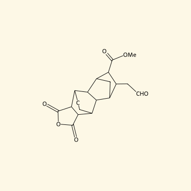 COC(=O)C1C(CC=O)C2CC1C1C3CCC(C4C(=O)OC(=O)C34)C21